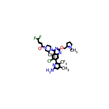 Cc1cc(N)nc(-c2cc3nc(OCC4CCCN4C)nc(N4CCN(C(=O)/C=C/C(F)F)CC4C)c3cc2Cl)c1C(F)(F)F